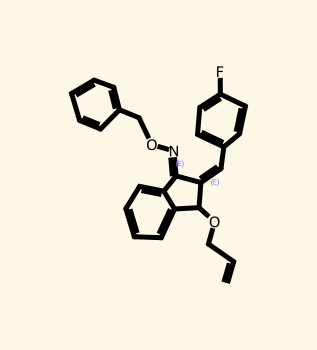 C=CCOC1C(=C/c2ccc(F)cc2)/C(=N/OCc2ccccc2)c2ccccc21